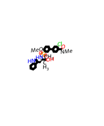 CNC(=O)c1ccc(-c2ccc(OC)c(S(=O)(=O)N[C@H](Cc3c[nH]c4ccccc34)C(C)(C)O)c2)cc1Cl